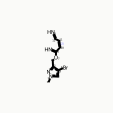 Cn1cc(Br)c(COC(=N)/C=C\C=N)n1